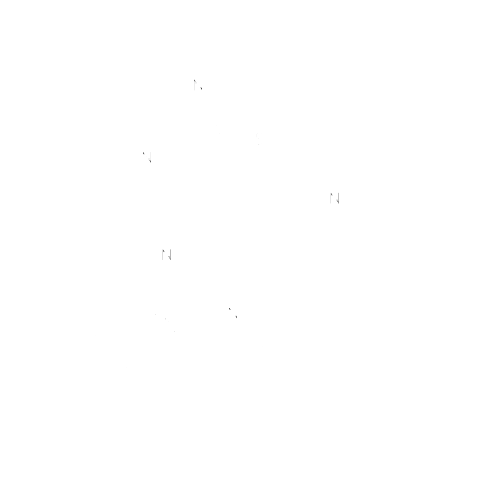 c1ccc2c(c1)c1ccccc1n2-c1cc(-n2c3ccccc3c3ccccc32)c2sc3nccnc3c2c1-n1c2ccccc2c2ccccc21